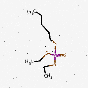 CCCCCSP(=S)(SCC)SCC